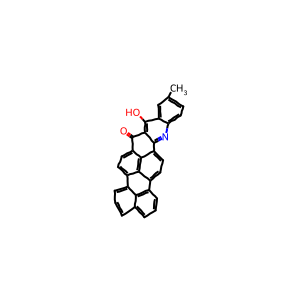 Cc1ccc2nc3c(c(O)c2c1)C(=O)c1ccc2c4cccc5cccc(c6ccc-3c1c26)c54